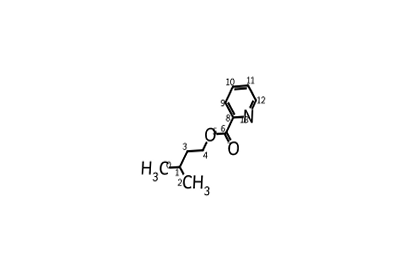 CC(C)CCOC(=O)c1ccccn1